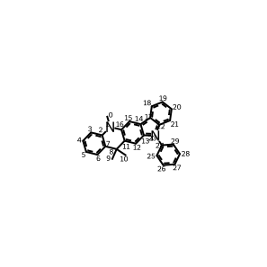 CN1c2ccccc2C(C)(C)c2cc3c(cc21)c1ccccc1n3-c1ccccc1